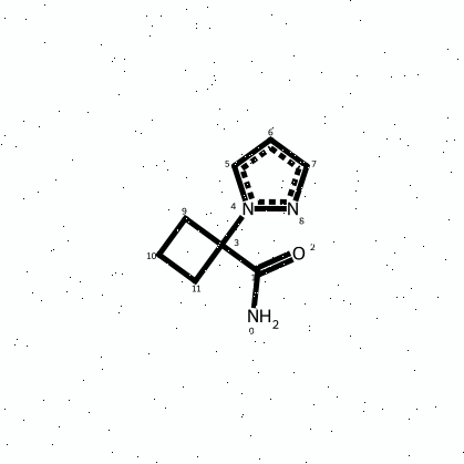 NC(=O)C1(n2cccn2)CCC1